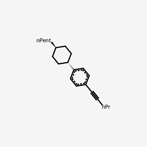 CCCC#Cc1ccc([C@H]2CC[C@H](CCCCC)CC2)cc1